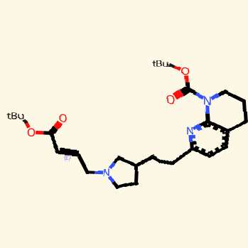 CC(C)(C)OC(=O)/C=C/CN1CCC(CCc2ccc3c(n2)N(C(=O)OC(C)(C)C)CCC3)C1